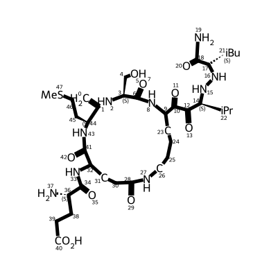 C=C1N[C@@H](CO)C(=O)NC(C(=O)C(=O)[C@@H](NNC(C(N)=O)[C@@H](C)CC)C(C)C)CCCCNC(=O)CCC(NC(=O)[C@@H](N)CCC(=O)O)C(=O)N[C@H]1CCSC